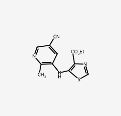 CCOC(=O)c1ncsc1Nc1cc(C#N)cnc1C